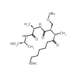 CCCCCCCCCCCCCCCC(=O)N(C)[C@H](COCCCC)C(=O)N[C@H](C)C(=O)N[C@@H](C)C(=O)O